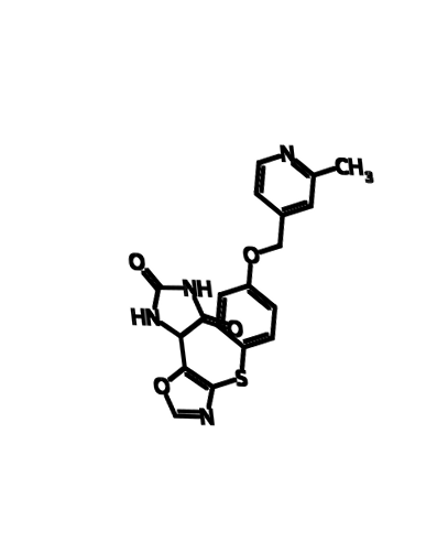 Cc1cc(COc2ccc(Sc3ncoc3C3NC(=O)NC3=O)cc2)ccn1